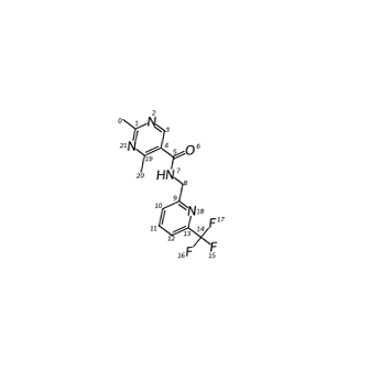 Cc1ncc(C(=O)NCc2cccc(C(F)(F)F)n2)c(C)n1